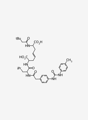 Cc1ccc(NC(=O)Nc2ccc(CC(=O)NC(CC(C)C)C(=O)NC(C/C=C/CC(NC(=O)CC(C)(C)C)C(=O)O)C(=O)O)cc2)cc1